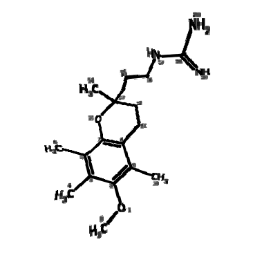 COc1c(C)c(C)c2c(c1C)CCC(C)(CCNC(=N)N)O2